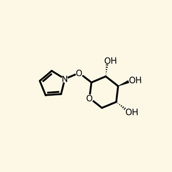 O[C@H]1[C@H](O)COC(On2cccc2)[C@@H]1O